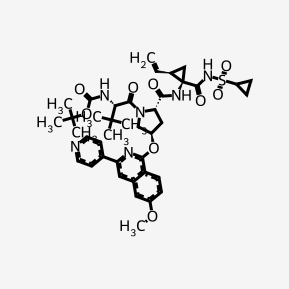 C=C[C@H]1C[C@]1(NC(=O)[C@@H]1C[C@@H](Oc2nc(-c3ccncc3)cc3cc(OC)ccc23)CN1C(=O)[C@@H](NC(=O)OC(C)(C)C)C(C)(C)C)C(=O)NS(=O)(=O)C1CC1